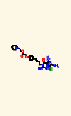 N=C(N)N(CCCCc1ccc(OCC(=O)OCCN2CCCCC2)cc1)C(=O)c1nc(Cl)c(N)nc1N